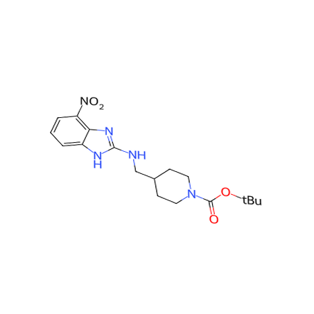 CC(C)(C)OC(=O)N1CCC(CNc2nc3c([N+](=O)[O-])cccc3[nH]2)CC1